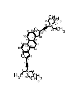 CC[Si](C#Cc1cc2c(o1)C=CC1C2=CC=C2c3cc(C#C[Si](CC)(CC)CC)oc3C=CC21)(CC)CC